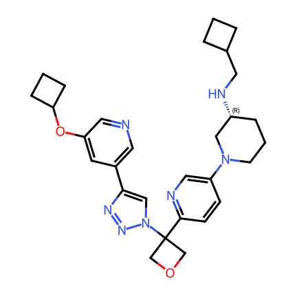 c1ncc(-c2cn(C3(c4ccc(N5CCC[C@@H](NCC6CCC6)C5)cn4)COC3)nn2)cc1OC1CCC1